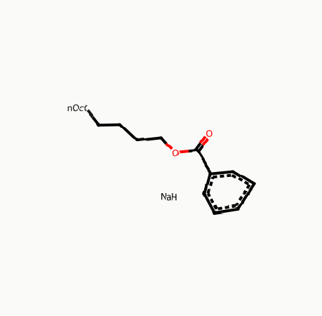 CCCCCCCCCCCCOC(=O)c1ccccc1.[NaH]